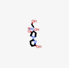 OCCNC1(O)C=CN(c2cccc(O)n2)C=C1O